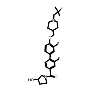 CC(C)(F)CN1CCC(COc2ccc(-c3ccc(C(=O)N4CCC(O)C4)cc3F)cc2F)CC1